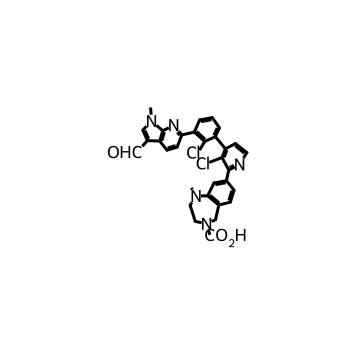 CN1CCN(C(=O)O)Cc2ccc(-c3nccc(-c4cccc(-c5ccc6c(C=O)cn(C)c6n5)c4Cl)c3Cl)cc21